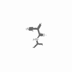 C=C(C#N)C(=O)NC(C)C